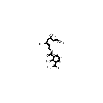 C/C=C/C(C)C/C(C)=C/COC(=O)c1cccc(C(C)=O)c1O